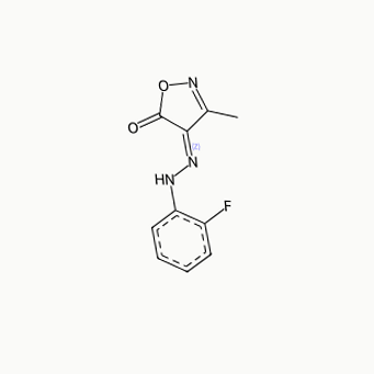 CC1=NOC(=O)/C1=N\Nc1ccccc1F